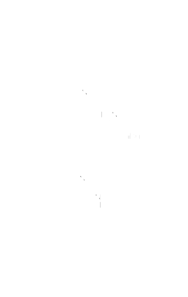 CCCCN.c1cncc(-c2cc[nH]n2)c1